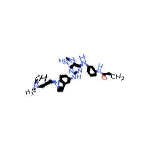 C=CC(=O)Nc1cccc(Nc2nc(Nc3ccc4c(ccn4CCN(C)C)c3)nc3[nH]cnc23)c1